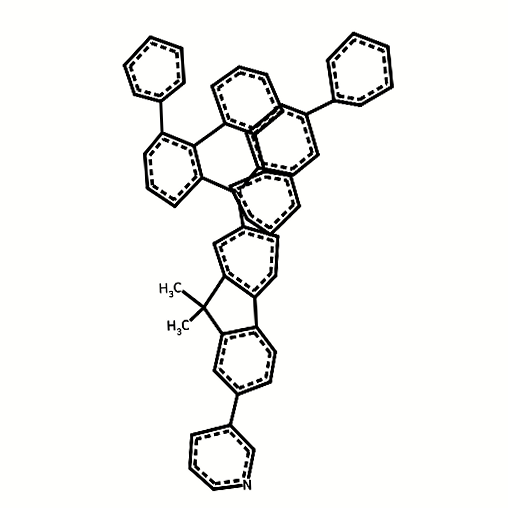 CC1(C)c2cc(-c3cccnc3)ccc2-c2ccc(N(c3ccc(-c4ccccc4)cc3)c3cccc(-c4ccccc4)c3-c3ccccc3-c3ccccc3)cc21